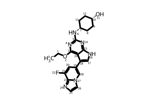 CCOc1nc(N[C@H]2CC[C@@H](O)CC2)nc2[nH]cc(-c3cc(F)c4nccn4c3)c12